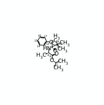 CC(C)OC(=O)[C@@H](C)N[P@](=O)(Oc1ccccc1)C(C)(C)C